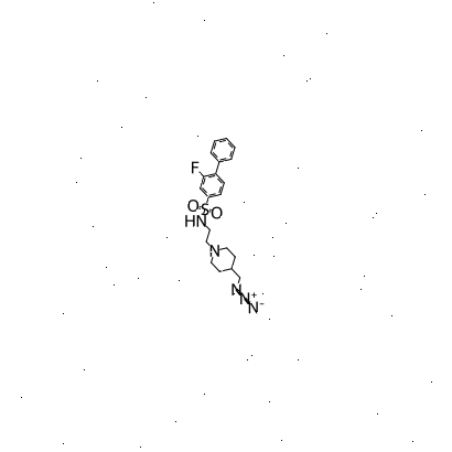 [N-]=[N+]=NCC1CCN(CCNS(=O)(=O)c2ccc(-c3ccccc3)c(F)c2)CC1